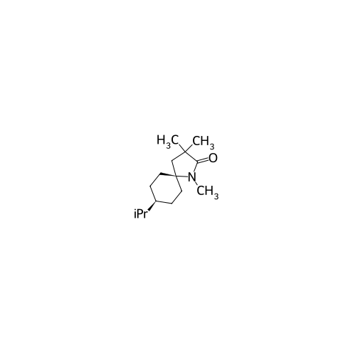 CC(C)[C@H]1CC[C@@]2(CC1)CC(C)(C)C(=O)N2C